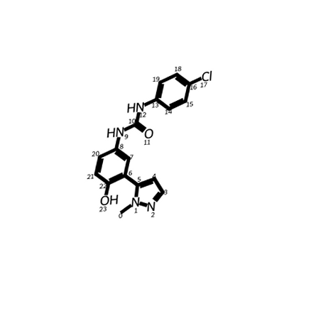 Cn1nccc1-c1cc(NC(=O)Nc2ccc(Cl)cc2)ccc1O